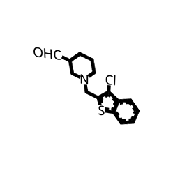 O=CC1CCCN(Cc2sc3ccccc3c2Cl)C1